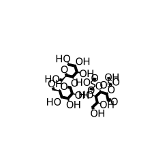 O=C[C@H](OS(=O)(=O)O)[C@@H](OS(=O)(=O)O)[C@@H](O)[C@H](O)CO.OC[C@H]1O[C@@H](O[C@H]2[C@H](O)[C@@H](O)[C@@H](O)O[C@@H]2CO)[C@H](O)[C@@H](O)[C@H]1O